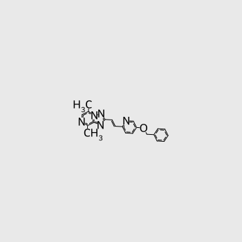 Cc1ncc(C)n2nc(C=Cc3ccc(OCc4ccccc4)cn3)nc12